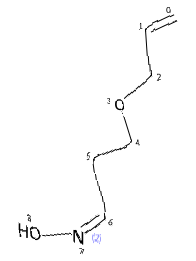 C=CCOCC/C=N\O